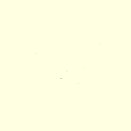 O=C(O)c1ccc(CCC[C@@H]2[C@@H](C#Cc3ccccc3)[C@H](O)C[C@H]2O)s1